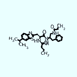 C=CC(=O)NCC(Cc1ccccc1)NC(=O)[C@H](Cc1nc2ccc(C(C)C)cc2s1)NC(=O)CCC